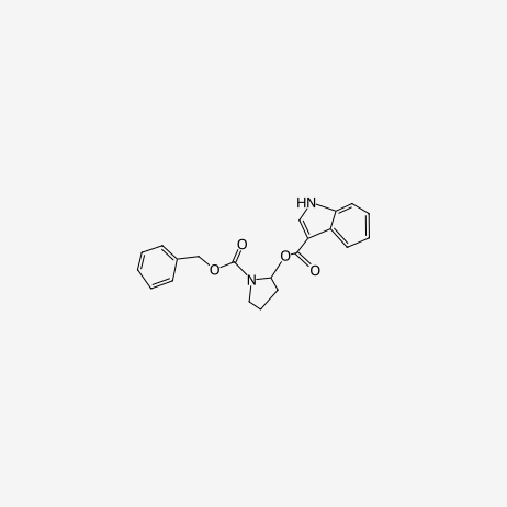 O=C(OC1CCCN1C(=O)OCc1ccccc1)c1c[nH]c2ccccc12